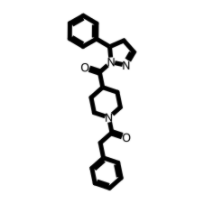 O=C(Cc1ccccc1)N1CCC(C(=O)N2N=CCC2c2ccccc2)CC1